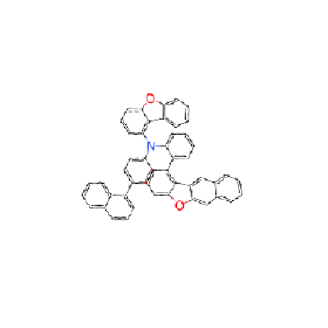 c1ccc(N(c2ccc(-c3cccc4ccccc34)cc2)c2cccc3oc4ccccc4c23)c(-c2cccc3oc4cc5ccccc5cc4c23)c1